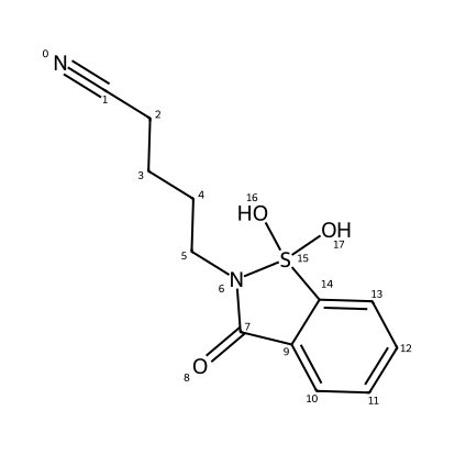 N#CCCCCN1C(=O)c2ccccc2S1(O)O